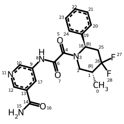 C[C@@H]1CN(C(=O)C(=O)Nc2cncc(C(N)=O)c2)[C@@H](c2ccccc2)CC1(F)F